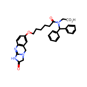 O=C(O)CN(C(=O)CCCCCOc1ccc2c(c1)CN1CC(=O)NC1=N2)C(c1ccccc1)c1ccccc1